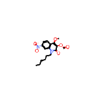 CCCCCCn1c(=O)c(OC=O)c(OC)c2ccc([N+](=O)[O-])cc21